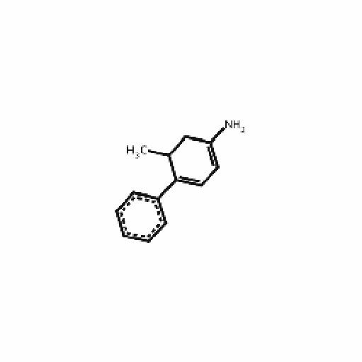 CC1CC(N)=CC=C1c1ccccc1